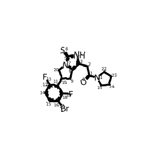 O=C(Cc1[nH]c(=S)n2c1CC(c1c(F)ccc(Br)c1F)C2)N1CCCC1